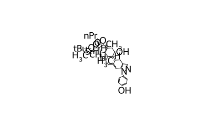 CCCC1O[C@@H]2C[C@H]3[C@@H]4CCC5=Cc6c(cnn6-c6ccc(O)cc6)C[C@]5(C)[C@H]4[C@@H](O)C[C@]3(C)[C@]2(C(=O)CO[Si](C)(C)C(C)(C)C)O1